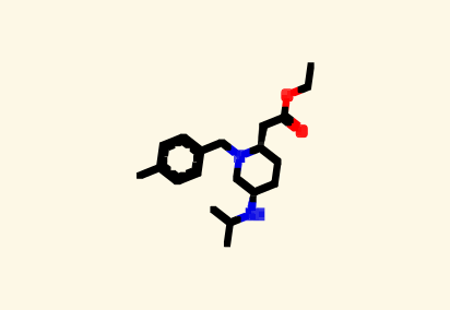 CCOC(=O)C[C@H]1CC[C@@H](NC(C)C)CN1Cc1ccc(C)cc1